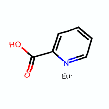 O=C(O)c1ccccn1.[Eu]